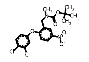 CN(Cc1cc([N+](=O)[O-])ccc1Oc1ccc(Cl)c(Cl)c1)C(=O)OC(C)(C)C